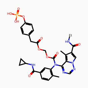 CCNC(=O)c1cn2ncnc(N(C(=O)OCOC(=O)Cc3ccc(OP(=O)(O)O)cc3)c3cc(C(=O)NC4CC4)ccc3C)c2c1C